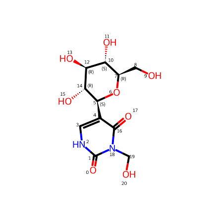 O=c1[nH]cc([C@@H]2O[C@H](CO)[C@@H](O)[C@H](O)[C@H]2O)c(=O)n1CO